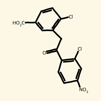 O=C(O)c1ccc(Cl)c(CC(=O)c2ccc([N+](=O)[O-])cc2Cl)c1